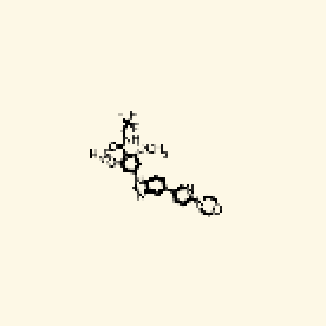 COc1cc(-n2cnc3cc(-c4ccc(N5CCOCC5)nc4)ccc32)cc(OC)c1C(=O)NCC(F)(F)F